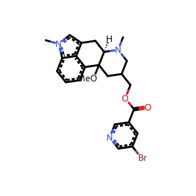 COC12CC(COC(=O)c3cncc(Br)c3)CN(C)[C@@H]1Cc1cn(C)c3cccc2c13